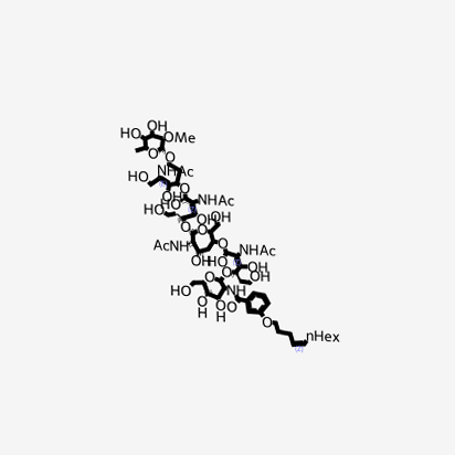 CCCCCC/C=C\CCCOc1cccc(C(=O)NC2C(O[C@H](CCO)/C(O)=C(/NC(C)=O)C(O)OC3C[C@H](O)[C@H](NC(C)=O)[C@H](O[C@H](CCO)/C(O)=C(/NC(C)=O)[C@@H](O)OC(CCO[C@@H]4OC(C)C(O)C(O)C4OC)/C(O)=C(/CO)NC(C)=O)OC3CO)OC(CO)[C@@H](O)C2O)c1